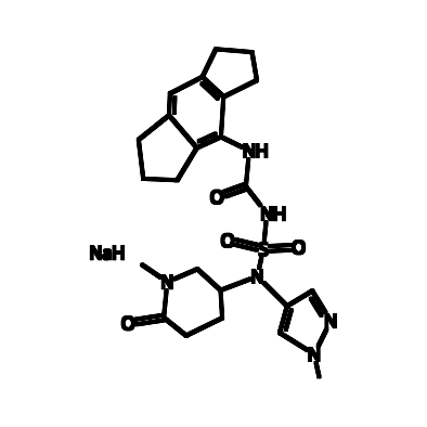 CN1CC(N(c2cnn(C)c2)S(=O)(=O)NC(=O)Nc2c3c(cc4c2CCC4)CCC3)CCC1=O.[NaH]